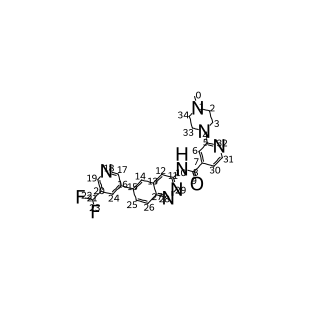 CN1CCN(c2cc(C(=O)Nc3cc4cc(-c5cncc(C(F)F)c5)ccc4nn3)ccn2)CC1